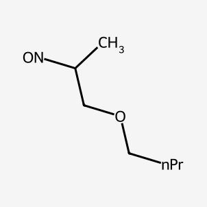 CCCCOCC(C)N=O